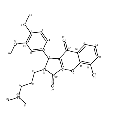 COc1ccc(C2c3c(oc4c(Cl)cccc4c3=O)C(=O)N2CCCN(C)C)cc1OC